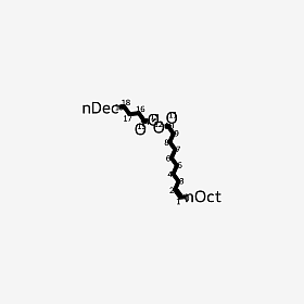 CCCCCCCC/C=C\CCCCCCCC(=O)OOC(=O)CCCCCCCCCCCCC